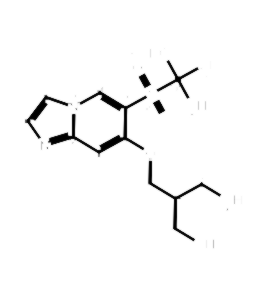 CCC(CO)COc1cc2nccn2cc1S(=O)(=O)C(C)(C)C